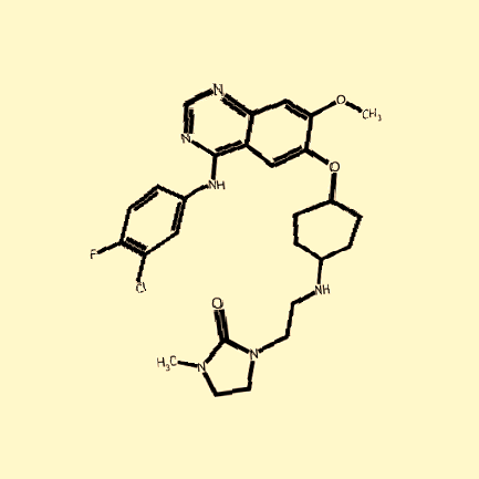 COc1cc2ncnc(Nc3ccc(F)c(Cl)c3)c2cc1OC1CCC(NCCN2CCN(C)C2=O)CC1